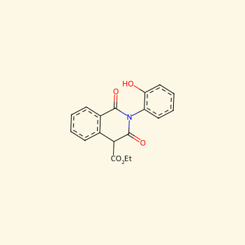 CCOC(=O)C1C(=O)N(c2ccccc2O)C(=O)c2ccccc21